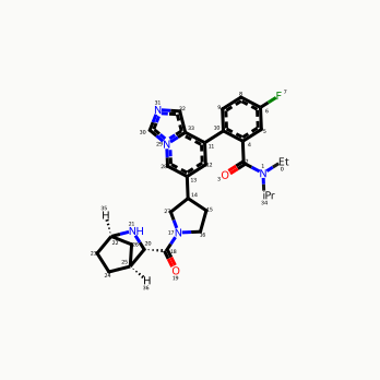 CCN(C(=O)c1cc(F)ccc1-c1cc(C2CCN(C(=O)[C@H]3N[C@@H]4CC[C@H]3C4)C2)cn2cncc12)C(C)C